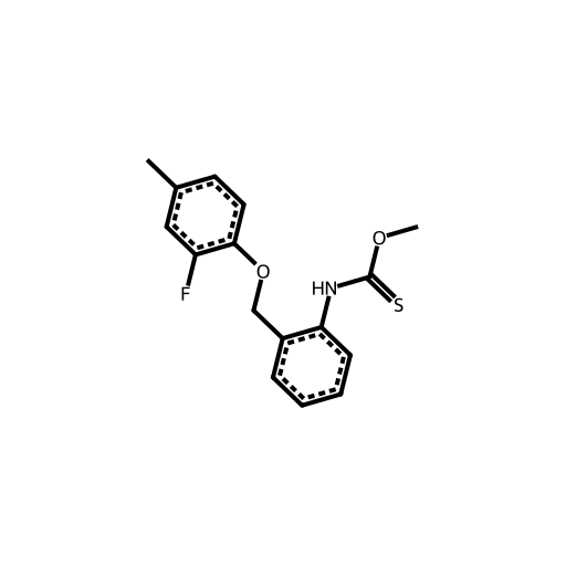 COC(=S)Nc1ccccc1COc1ccc(C)cc1F